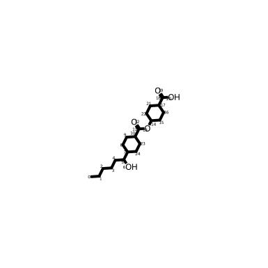 CCCCCC(O)C1CCC(C(=O)OC2CCC(C(=O)O)CC2)CC1